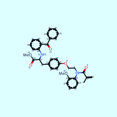 C=C(C)C(=O)N(CCOc1ccc(CC(Nc2ccccc2C(=O)c2ccccc2)C(=O)OC)cc1)c1ccccc1OC